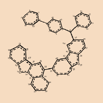 c1ccc(-c2ccc(C(c3ccccc3)c3ccc4sc5ccc(-c6cc7c8ccccc8oc7c7ccccc67)cc5c4c3)cc2)cc1